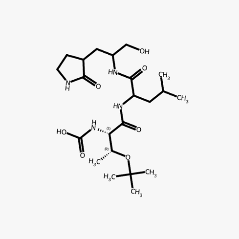 CC(C)CC(NC(=O)[C@@H](NC(=O)O)[C@@H](C)OC(C)(C)C)C(=O)NC(CO)CC1CCNC1=O